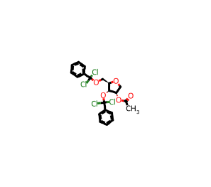 CC(=O)O[C@H]1CO[C@H](COC(Cl)(Cl)c2ccccc2)[C@H]1OC(Cl)(Cl)c1ccccc1